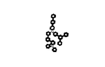 C1=CC(c2ccc(-c3ccccc3)cc2)CC=C1N(c1ccc(-c2cc(-c3ccccc3)cc(-c3ccccc3)c2)cc1)c1cccc(-c2cccc(-c3cccc4c3c3ccccc3n4-c3ccccc3)c2)c1